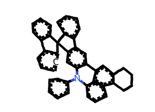 c1ccc(N(c2ccccc2)c2cc3c(cc2-c2ccc4c(c2)CCCC4)-c2ccccc2C32c3ccccc3-c3ccccc32)cc1